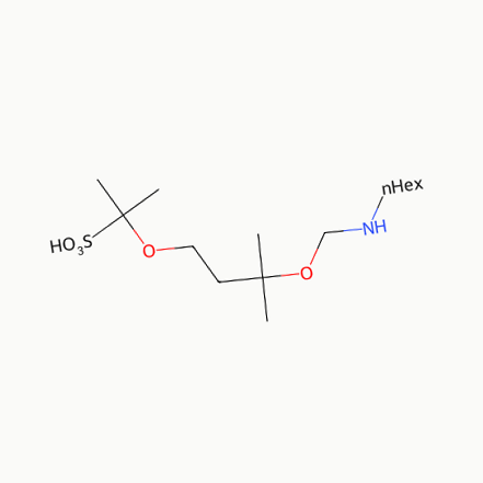 CCCCCCNCOC(C)(C)CCOC(C)(C)S(=O)(=O)O